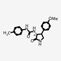 COc1ccc(C2CNC(=O)[C@@H]2NC(=O)Nc2ccc(C)cc2)cc1